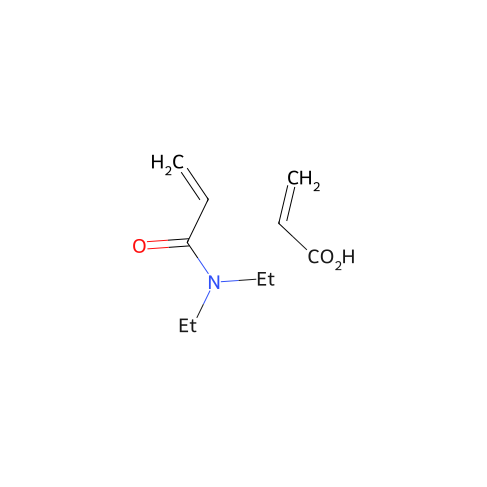 C=CC(=O)N(CC)CC.C=CC(=O)O